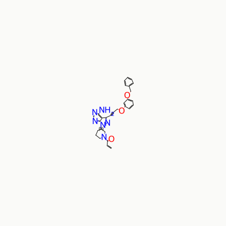 C=CC(=O)N1CCC[C@@H](n2nc(C#CCOc3cccc(OCc4ccccc4)c3)c3c(N)ncnc32)C1